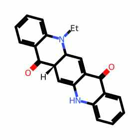 CCN1c2ccccc2C(=O)[C@H]2C=c3[nH]c4ccccc4c(=O)c3=CC21